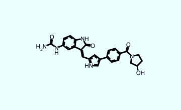 NC(=O)Nc1ccc2c(c1)C(=Cc1cc(-c3ccc(C(=O)N4CC[C@@H](O)C4)cc3)c[nH]1)C(=O)N2